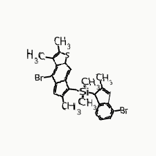 CC1=Cc2c(Br)cccc2C1[Si](C)(C)C1=C(C)C=C2C1=CC1SC(C)=C(C)C1=C2Br